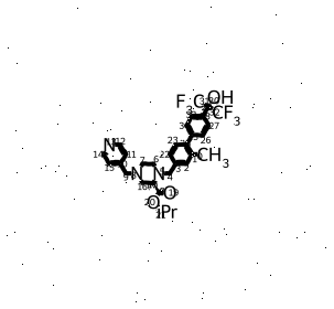 Cc1cc(CN2CCN(Cc3ccncc3)C[C@@H]2C(=O)OC(C)C)ccc1-c1ccc(C(O)(C(F)(F)F)C(F)(F)F)cc1